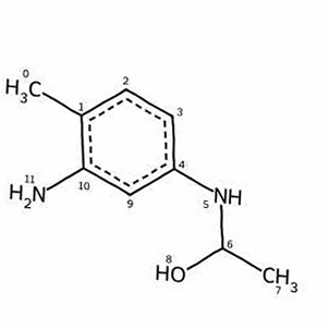 Cc1ccc(NC(C)O)cc1N